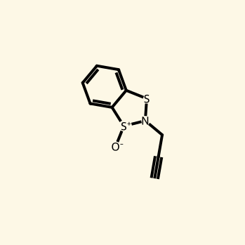 C#CCN1Sc2ccccc2[S+]1[O-]